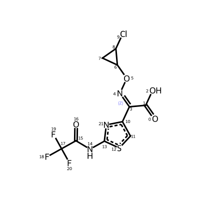 O=C(O)/C(=N\OC1CC1Cl)c1csc(NC(=O)C(F)(F)F)n1